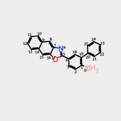 Bc1ccc(-c2nc3cc4ccccc4cc3o2)cc1-c1ccccc1